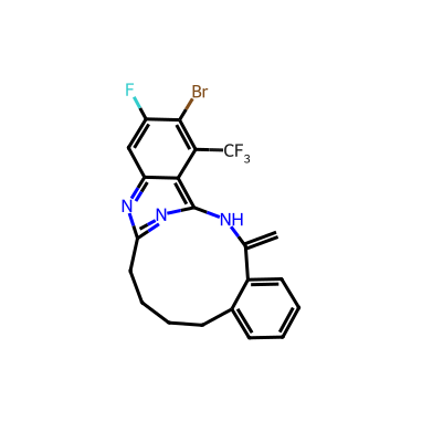 C=C1Nc2nc(nc3cc(F)c(Br)c(C(F)(F)F)c23)CCCCc2ccccc21